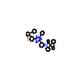 CN1C(c2ccc3sc4cccc(-c5ccccc5)c4c3c2)=NC(c2ccccc2)=NC1c1cccc(N2c3ccccc3C3(c4ccccc4-c4ccccc43)c3ccccc32)c1